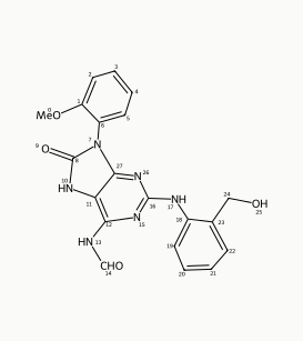 COc1ccccc1-n1c(=O)[nH]c2c(NC=O)nc(Nc3ccccc3CO)nc21